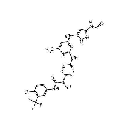 Cc1cc(Nc2cc(NC=O)n[nH]2)nc(Nc2ccc(N(S)C(=O)Nc3ccc(Cl)c(C(F)(F)F)c3)nc2)n1